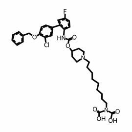 O=C(Nc1ccc(F)cc1-c1ccc(OCc2ccccc2)c(Cl)c1)OC1CCN(CCCCCCCCCN(C(=O)O)C(=O)O)CC1